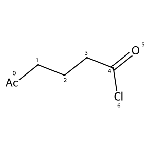 CC(=O)CCCC(=O)Cl